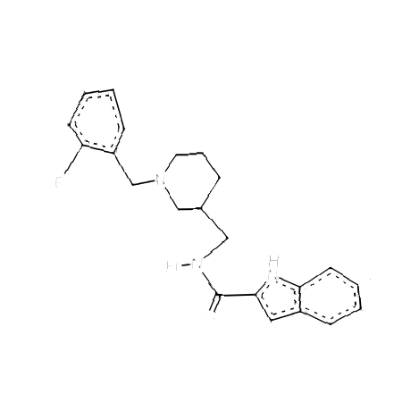 CCN(CC1CCCN(Cc2ccccc2F)C1)C(=O)c1cc2ccccc2[nH]1